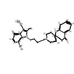 CC(=O)c1c(C)n(CCCN2CCC3(CC2)CC(=O)c2ccccc2O3)c2c(Br)cccc12